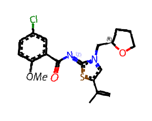 C=C(C)c1cn(C[C@H]2CCCO2)/c(=N/C(=O)c2cc(Cl)ccc2OC)s1